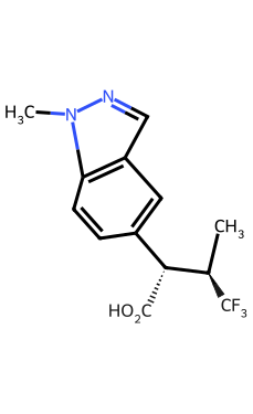 C[C@H]([C@H](C(=O)O)c1ccc2c(cnn2C)c1)C(F)(F)F